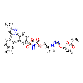 Cc1ccc(-c2cc(C(F)(F)F)nn2-c2ccc(S(=O)(=O)NC(=O)OC[C@@H]3CCN3/N=N\OC(C)OC(=O)C(C)(C)C)cc2)cc1